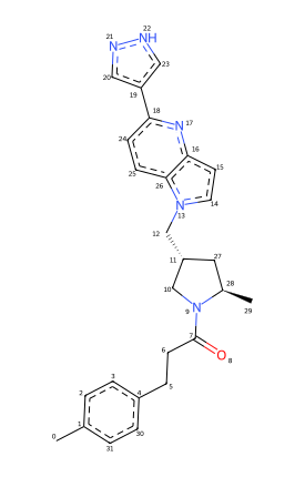 Cc1ccc(CCC(=O)N2C[C@H](Cn3ccc4nc(-c5cn[nH]c5)ccc43)C[C@H]2C)cc1